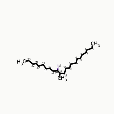 CCCCCCCCCCCCC(C)C(I)CCCCCCCCC